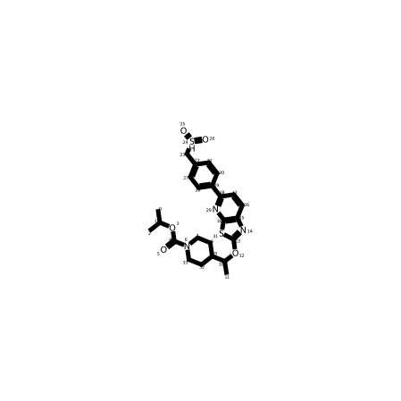 CC(C)OC(=O)N1CCC(C(C)Oc2nc3ccc(-c4ccc(C[SH](=O)=O)cc4)nc3s2)CC1